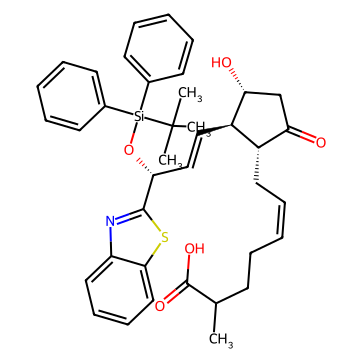 CC(CC/C=C\C[C@H]1C(=O)C[C@@H](O)[C@@H]1/C=C/[C@@H](O[Si](c1ccccc1)(c1ccccc1)C(C)(C)C)c1nc2ccccc2s1)C(=O)O